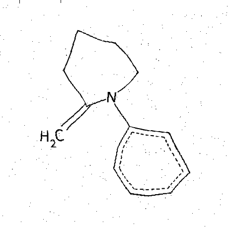 C=C1CCCCN1c1ccccc1